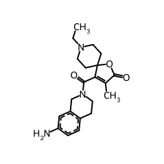 CCN1CCC2(CC1)OC(=O)C(C)=C2C(=O)N1CCc2ccc(N)cc2C1